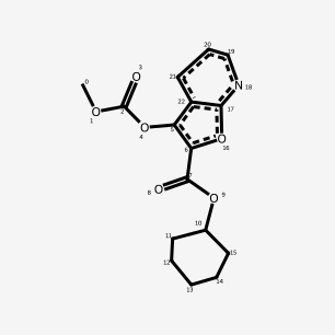 COC(=O)Oc1c(C(=O)OC2CCCCC2)oc2ncccc12